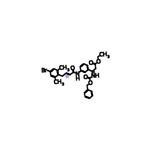 CCOC(=O)C[C@@H](NC(=O)OCc1ccccc1)c1cccc(NC(=O)/C=C/Cc2c(C)cc(Br)cc2C)c1